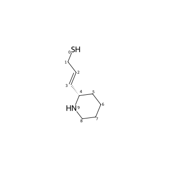 SCC=C[C@@H]1CCCCN1